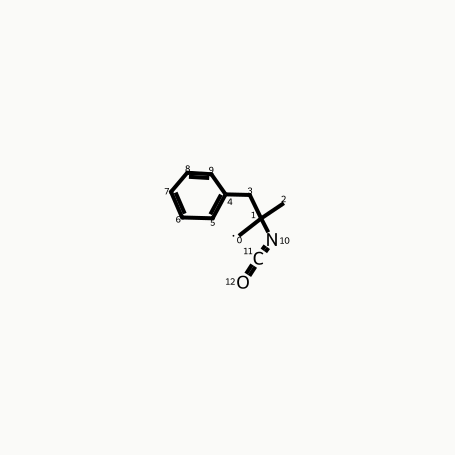 [CH2]C(C)(Cc1ccccc1)N=C=O